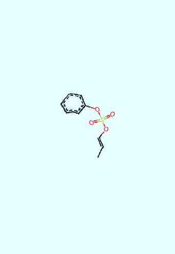 CC=COS(=O)(=O)Oc1ccccc1